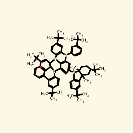 CC(C)(C)c1cccc(N2c3cc(C(C)(C)C)ccc3B3c4cc(C(C)(C)C)ccc4N(c4ccc(C(C)(C)C)cc4-c4ccccc4)c4cc(N5c6ccc(C(C)(C)C)cc6C6(C)CC(C(C)(C)C)CCC56C)cc2c43)c1